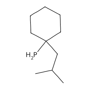 CC(C)CC1(P)CCCCC1